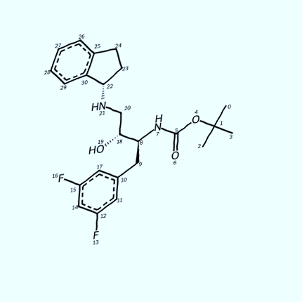 CC(C)(C)OC(=O)N[C@@H](Cc1cc(F)cc(F)c1)[C@H](O)CN[C@H]1CCc2ccccc21